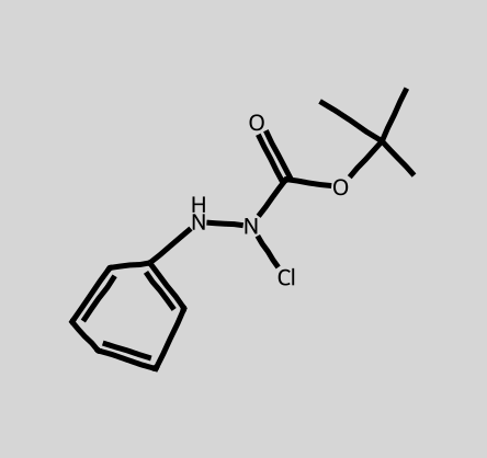 CC(C)(C)OC(=O)N(Cl)Nc1ccccc1